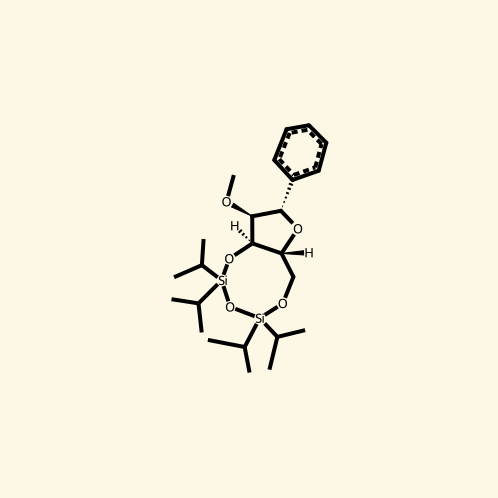 CO[C@@H]1[C@@H]2O[Si](C(C)C)(C(C)C)O[Si](C(C)C)(C(C)C)OC[C@H]2O[C@H]1c1ccccc1